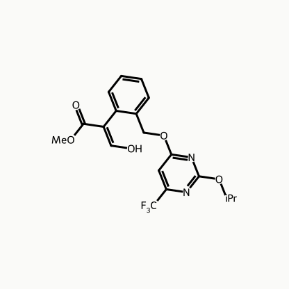 COC(=O)/C(=C/O)c1ccccc1COc1cc(C(F)(F)F)nc(OC(C)C)n1